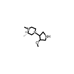 COC1CNCC1N1CCN(C)[C@@H](C)C1